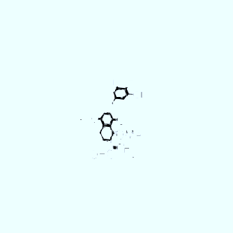 C=C(C=O)[C@@H]1CCc2c(C)cc(OCc3cc(C)c(F)c(F)c3)c(C)c2[C@@H]1OC